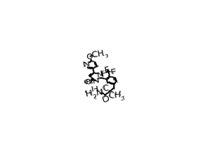 COc1ccc(-c2cc(=O)[nH]c(-c3cc(CC(C)(C)C(N)=O)ccc3C(F)(F)F)n2)cn1